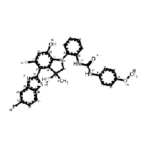 CC1(C)CN(c2ccccc2NC(=O)Nc2ccc(OC(F)(F)F)cc2)c2c(O)cc(F)c(-c3nc4cc(F)ccc4s3)c21